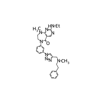 CCNc1ncc2c(n1)N(C)CCN(c1cccc(-n3cc(CN(C)CCc4ccccc4)nn3)c1)C2=O